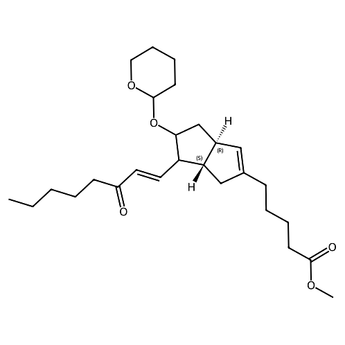 CCCCCC(=O)C=CC1C(OC2CCCCO2)C[C@H]2C=C(CCCCC(=O)OC)C[C@H]12